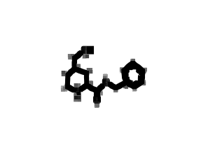 O=C(OCc1ccccc1)C1CC(CO)CCN1